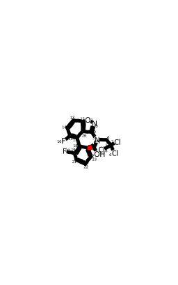 O=C(O)N(CC(Cl)(Cl)Cl)c1noc2ccc(F)c(-c3c(F)cccc3F)c12